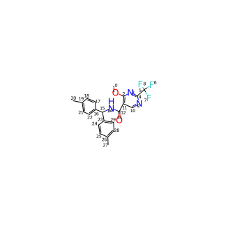 COc1nc(C(F)(F)F)ncc1C(=O)NC(c1ccc(C)cc1)c1ccc(C)cc1